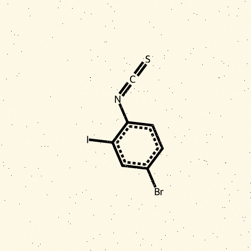 S=C=Nc1ccc(Br)cc1I